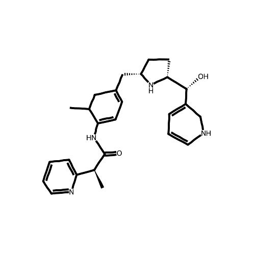 CC1CC(C[C@@H]2CC[C@H]([C@H](O)C3=CC=CNC3)N2)=CC=C1NC(=O)[C@@H](C)c1ccccn1